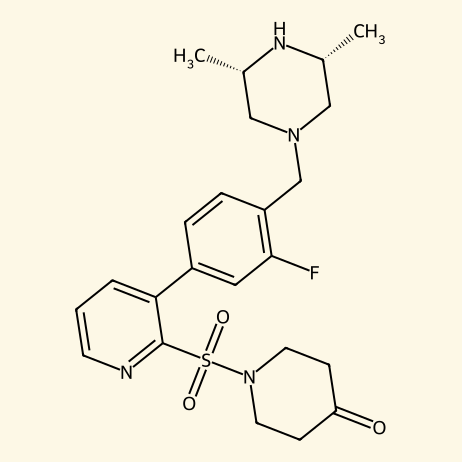 C[C@@H]1CN(Cc2ccc(-c3cccnc3S(=O)(=O)N3CCC(=O)CC3)cc2F)C[C@H](C)N1